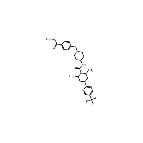 COC(=O)c1ccc(CN2CCC(NC(=O)N3[C@H](C)CN(c4ncc(C(F)(F)F)cn4)C[C@@H]3C)CC2)cc1